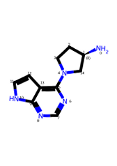 N[C@@H]1CCN(c2ncnc3[nH]ccc23)C1